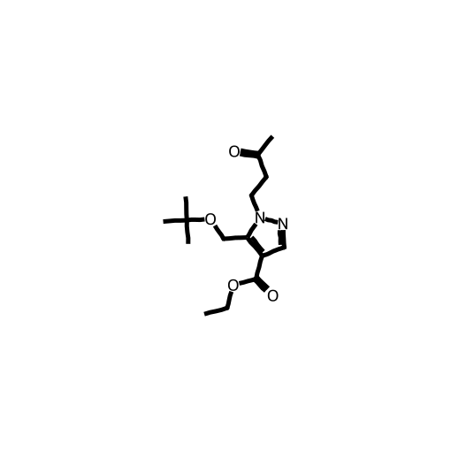 CCOC(=O)c1cnn(CCC(C)=O)c1COC(C)(C)C